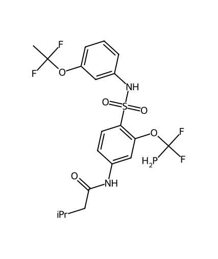 CC(C)CC(=O)Nc1ccc(S(=O)(=O)Nc2cccc(OC(C)(F)F)c2)c(OC(F)(F)P)c1